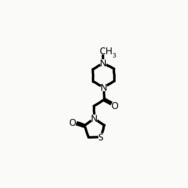 CN1CCN(C(=O)CN2CSCC2=O)CC1